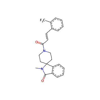 CN1C(=O)c2ccccc2C12CCN(C(=O)C=Cc1ccccc1C(F)(F)F)CC2